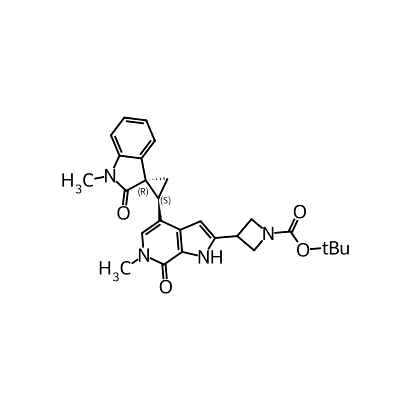 CN1C(=O)[C@@]2(C[C@H]2c2cn(C)c(=O)c3[nH]c(C4CN(C(=O)OC(C)(C)C)C4)cc23)c2ccccc21